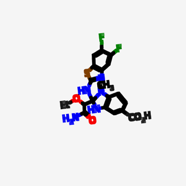 CCOC(C(N)=O)C1(Nc2nc3cc(F)c(F)cc3s2)Nc2cc(C(=O)O)ccc2N1C